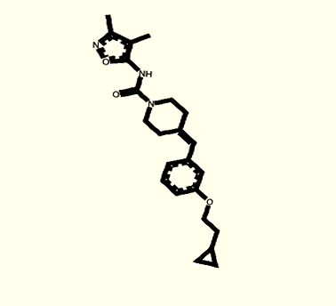 Cc1noc(NC(=O)N2CCC(=Cc3cccc(OCCC4CC4)c3)CC2)c1C